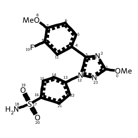 COc1nc(-c2ccc(OC)c(F)c2)n(-c2ccc(S(N)(=O)=O)cc2)n1